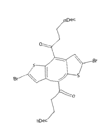 CCCCCCCCCCCCC(=O)c1c2cc(Br)sc2c(C(=O)CCCCCCCCCCCC)c2cc(Br)sc12